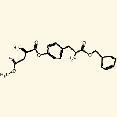 C=C(CC(=O)OC)C(=O)Oc1ccc(CC(N)C(=O)OCc2ccccc2)cc1